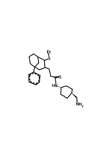 CCSC1C2CCCC(c3ccccc3)(C2)CC1CCC(=S)N[C@H]1CC[C@H](CN)CC1